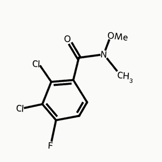 CON(C)C(=O)c1ccc(F)c(Cl)c1Cl